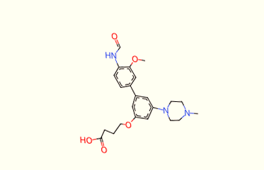 COc1cc(-c2cc(OCCCC(=O)O)cc(N3CCN(C)CC3)c2)ccc1NC=O